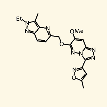 CCn1nc2ccc(COc3nn4c(-c5cc(C)on5)nnc4cc3OC)nc2c1C